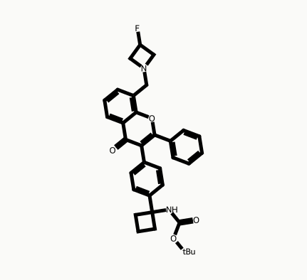 CC(C)(C)OC(=O)NC1(c2ccc(-c3c(-c4ccccc4)oc4c(CN5CC(F)C5)cccc4c3=O)cc2)CCC1